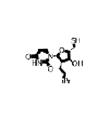 CC(C)CC[C@@H]1[C@H](O)[C@@H](CS)O[C@H]1n1ccc(=O)[nH]c1=O